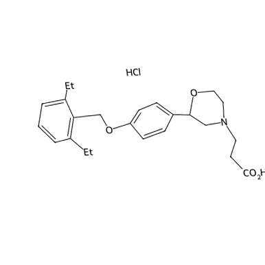 CCc1cccc(CC)c1COc1ccc(C2CN(CCC(=O)O)CCO2)cc1.Cl